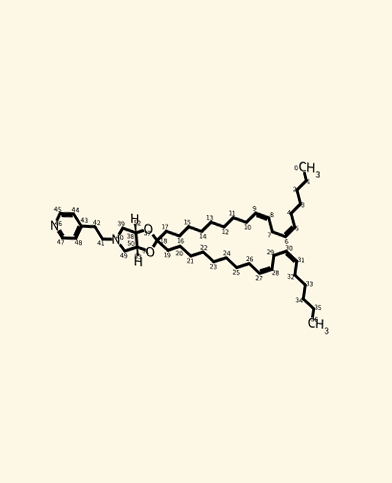 CCCCC/C=C\C/C=C\CCCCCCCCC1(CCCCCCCC/C=C\C/C=C\CCCCC)O[C@H]2CN(CCc3ccncc3)C[C@H]2O1